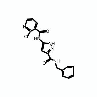 O=C(NCc1ccccc1)c1cc(NC(=O)c2cccnc2Cl)[nH]n1